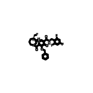 O=C(NCc1c(F)cc(F)cc1F)c1cn2c(c(OCc3ccccc3)c1=O)C(=O)N1CCC[C@H](CF)[C@H]2C1